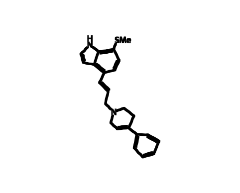 CSc1ccc(C=CCN2CC=C(c3ccccc3)CC2)c2cc[nH]c12